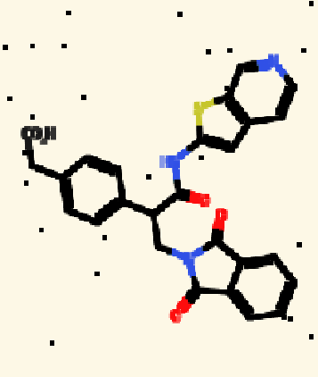 O=C(O)Cc1ccc(C(CN2C(=O)c3ccccc3C2=O)C(=O)Nc2cc3ccncc3s2)cc1